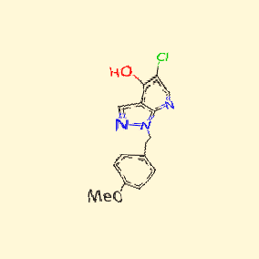 COc1ccc(Cn2ncc3c(O)c(Cl)cnc32)cc1